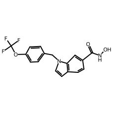 O=C(NO)c1ccc2ccn(Cc3ccc(OC(F)(F)F)cc3)c2c1